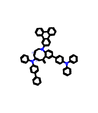 C=C1/C=C(N(c2ccccc2)c2ccc(-c3ccccc3)cc2)\C=C/CN(c2ccc3c4ccccc4c4ccccc4c3c2)c2ccc(-c3ccc(N(c4ccccc4)c4ccccc4)cc3)cc21